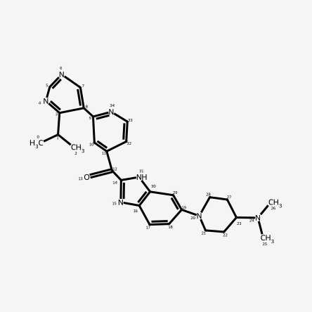 CC(C)c1ncncc1-c1cc(C(=O)c2nc3ccc(N4CCC(N(C)C)CC4)cc3[nH]2)ccn1